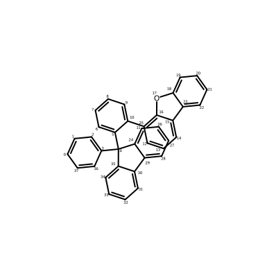 c1ccc(C2(c3ccccc3-c3cccc4c3oc3ccccc34)c3ccccc3-c3ccccc32)cc1